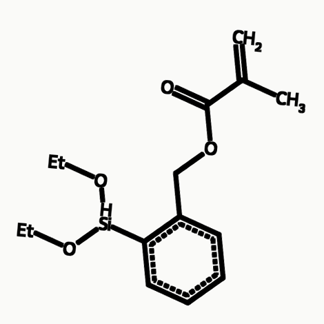 C=C(C)C(=O)OCc1ccccc1[SiH](OCC)OCC